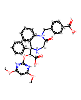 COc1cc(OC)nc(O[C@H](C(=O)O)[C@@]2(c3ccccc3)NCC(=O)N(Cc3ccc(C(=O)O)cc3)c3ccccc32)n1